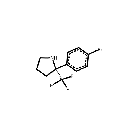 FC(F)(F)[C@]1(c2ccc(Br)cc2)CCCN1